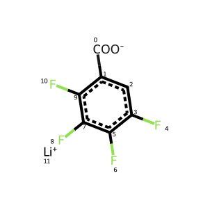 O=C([O-])c1cc(F)c(F)c(F)c1F.[Li+]